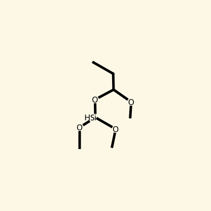 CCC(OC)O[SiH](OC)OC